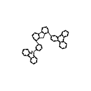 c1cc(-c2cccc3c2Cc2c(-c4ccc5c6ccccc6c6ccccc6c5c4)cccc2-3)cc(-n2c3ccccc3c3ccccc32)c1